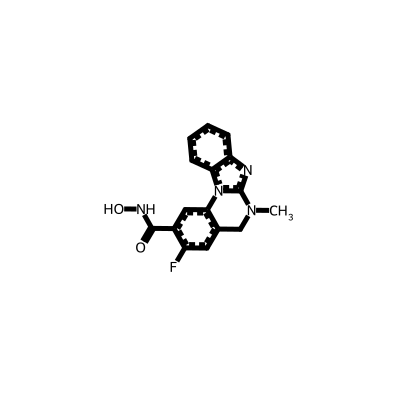 CN1Cc2cc(F)c(C(=O)NO)cc2-n2c1nc1ccccc12